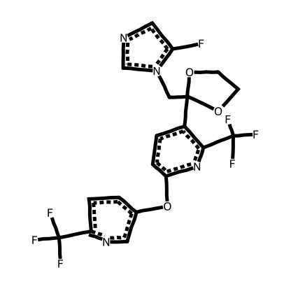 Fc1cncn1CC1(c2ccc(Oc3ccc(C(F)(F)F)nc3)nc2C(F)(F)F)OCCO1